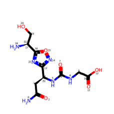 NC(=O)C[C@H](NC(=O)NCC(=O)O)c1noc([C@@H](N)CO)n1